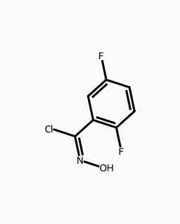 O/N=C(/Cl)c1cc(F)ccc1F